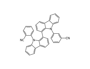 N#Cc1cccc(-n2c3ccccc3c3cccc(-c4cccc5c6ccccc6n(-c6ccccc6C#N)c45)c32)c1